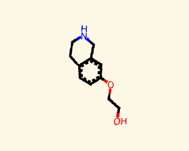 OCCOc1ccc2c(c1)CNCC2